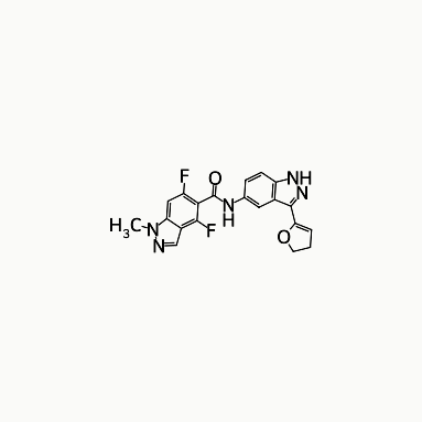 Cn1ncc2c(F)c(C(=O)Nc3ccc4[nH]nc(C5=CCCO5)c4c3)c(F)cc21